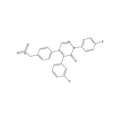 O=c1c(-c2cccc(F)c2)c(-c2ccc(C[SH](=O)=O)cc2)cnn1-c1ccc(F)cc1